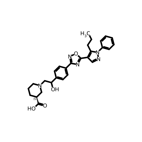 CCCc1c(-c2nc(-c3ccc(C(O)CN4CCC[C@H](C(=O)O)C4)cc3)no2)cnn1-c1ccccc1